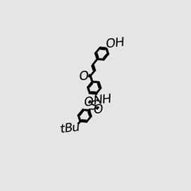 CC(C)(C)c1ccc(S(=O)(=O)Nc2ccc(C(=O)/C=C/c3ccc(O)cc3)cc2)cc1